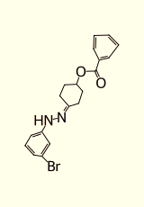 O=C(OC1CCC(=NNc2cccc(Br)c2)CC1)c1ccccc1